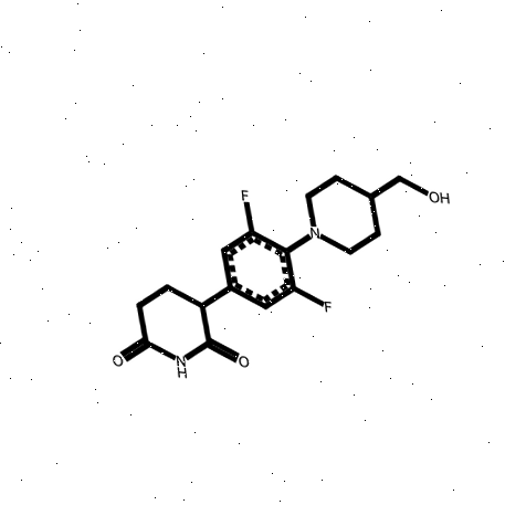 O=C1CCC(c2cc(F)c(N3CCC(CO)CC3)c(F)c2)C(=O)N1